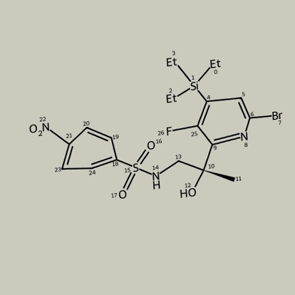 CC[Si](CC)(CC)c1cc(Br)nc([C@](C)(O)CNS(=O)(=O)c2ccc([N+](=O)[O-])cc2)c1F